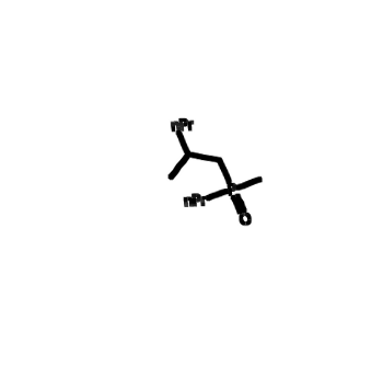 CCCC(C)CP(C)(=O)CCC